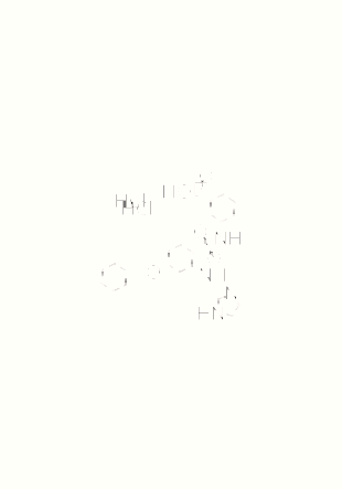 Cl.Cl.O=S(=O)(Nc1ccc2c(c1)B(O)OC2)c1ccc(OCc2ccccc2)cc1NCc1ncc[nH]1